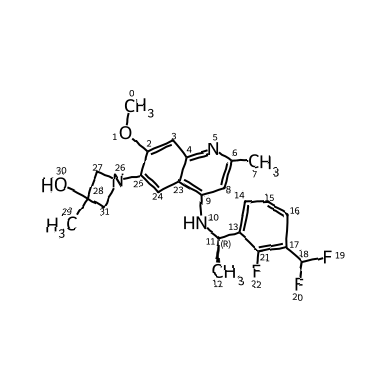 COc1cc2nc(C)cc(N[C@H](C)c3cccc(C(F)F)c3F)c2cc1N1CC(C)(O)C1